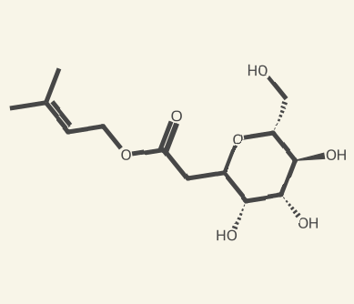 CC(C)=CCOC(=O)CC1O[C@H](CO)[C@@H](O)[C@H](O)[C@@H]1O